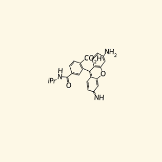 CC(C)NC(=O)c1ccc(C(=O)O)c(-c2c3ccc(=N)cc-3oc3cc(N)ccc23)c1